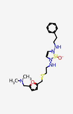 CN(C)Cc1ccc(CSCCNN2C=CN(NCCc3ccccc3)[S+]2[O-])o1